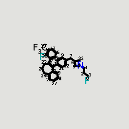 FCCCN1CC(Cc2ccc(C3=C(c4cccc(C(F)(F)F)c4F)CCCc4ccccc43)cc2)C1